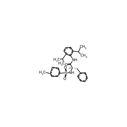 Cc1ccc(S(=O)(=O)N[C@@H](Cc2ccccc2)C(=O)Nc2c(C(C)C)cccc2C(C)C)cc1